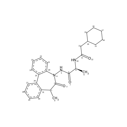 CC1C(=O)N(NC(=O)[C@H](C)NC(=O)CC2CCCCC2)c2ccccc2-c2ccccc21